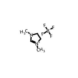 CN1C=[N+](C)CC1.F[B-](F)(F)F